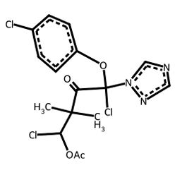 CC(=O)OC(Cl)C(C)(C)C(=O)C(Cl)(Oc1ccc(Cl)cc1)n1cncn1